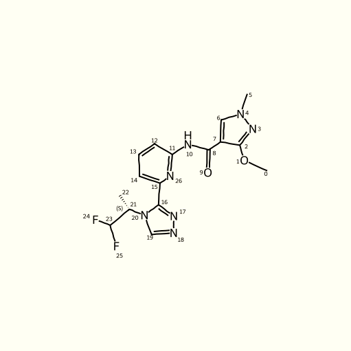 COc1nn(C)cc1C(=O)Nc1cccc(-c2nncn2[C@@H](C)C(F)F)n1